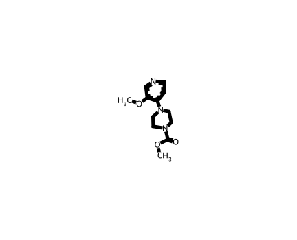 COC(=O)N1CCN(c2ccncc2OC)CC1